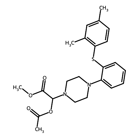 COC(=O)C(OC(C)=O)N1CCN(c2ccccc2Sc2ccc(C)cc2C)CC1